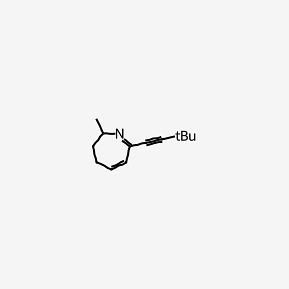 CC1CCC=CC(C#CC(C)(C)C)=N1